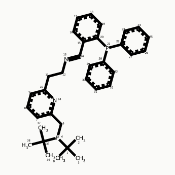 CC(C)(C)P(Cc1cccc(CCN=Cc2ccccc2P(c2ccccc2)c2ccccc2)n1)C(C)(C)C